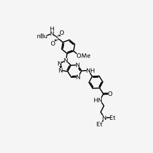 CCCCNS(=O)(=O)c1ccc(OC)c(-n2nnc3cnc(Nc4ccc(C(=O)NCCN(CC)CC)cc4)nc32)c1